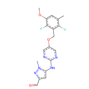 COc1cc(C)c(F)c(COc2cnc(Nc3cc(C=O)nn3C)nc2)c1F